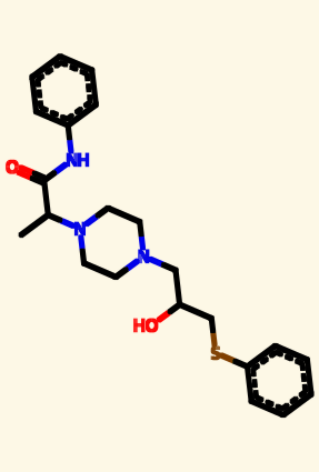 CC(C(=O)Nc1ccccc1)N1CCN(CC(O)CSc2ccccc2)CC1